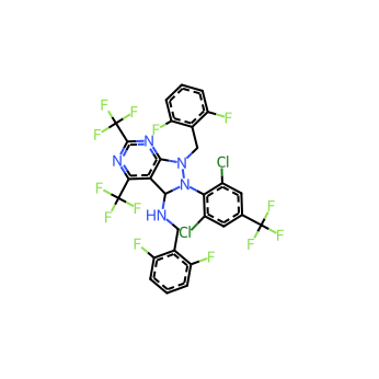 Fc1cccc(F)c1CNC1c2c(nc(C(F)(F)F)nc2C(F)(F)F)N(Cc2c(F)cccc2F)N1c1c(Cl)cc(C(F)(F)F)cc1Cl